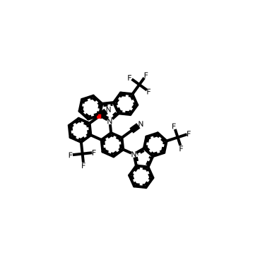 N#Cc1cccc(C(F)(F)F)c1-c1ccc(-n2c3ccccc3c3cc(C(F)(F)F)ccc32)c(C#N)c1-n1c2ccccc2c2cc(C(F)(F)F)ccc21